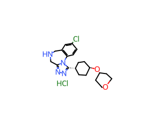 Cl.Clc1ccc2c(c1)CNCc1nnc([C@H]3CC[C@H](OC4CCOCC4)CC3)n1-2